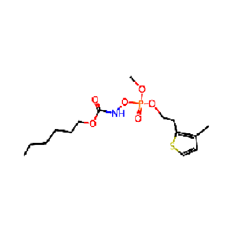 CCCCCCOC(=O)NOP(=O)(OC)OCCc1sccc1C